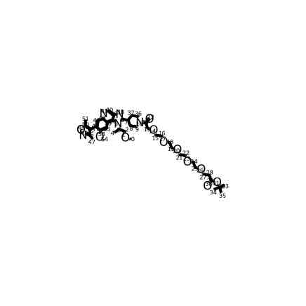 COCC(C)n1c(C2CCN(C(=O)COCCOCCOCCOCCOCCC(=O)OC(C)(C)C)CC2)nc2cnc3cc(-c4c(C)noc4C)c(OC)cc3c21